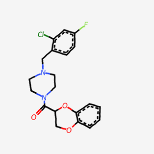 O=C(C1COc2ccccc2O1)N1CCN(Cc2ccc(F)cc2Cl)CC1